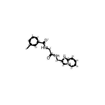 Cc1cccc(C(=O)NCC(=O)NCc2cn3ccccc3n2)c1